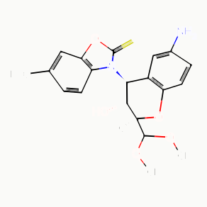 COC(OC)[C@]1(C)Oc2ccc(N)cc2[C@H](n2c(=S)oc3cc(C)ccc32)[C@H]1O